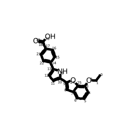 CCOc1cccc2cc(-c3ccc(-c4ccc(C(=O)O)cc4)[nH]3)oc12